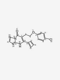 O=c1c(CCOc2ccc(Cl)cc2)c(C2=CC=C2)[nH]c2ncnn12